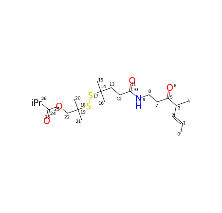 CC=CC(C)C(=O)CCNC(=O)CCC(C)(C)SSC(C)(C)COC(=O)C(C)C